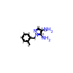 Cc1ccccc1Cn1ncc(N)c1N